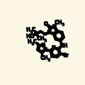 Cc1cc(C)n(-c2ncc(Br)c(Nc3ccc4c(c3)n(CCC(C)(C)O)c(=O)n4C)n2)n1